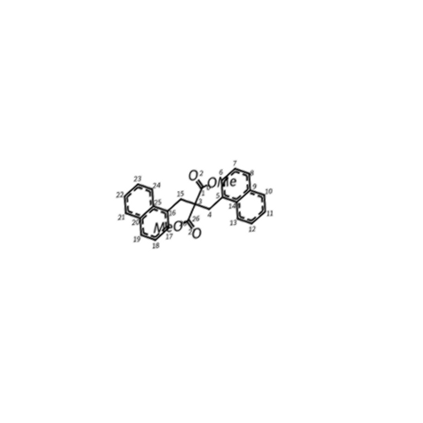 COC(=O)C(Cc1cccc2ccccc12)(Cc1cccc2ccccc12)C(=O)OC